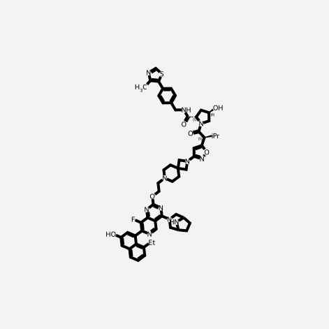 CCc1cccc2cc(O)cc(-c3ncc4c(N5CC6CCC(C5)N6)nc(OCCN5CCC6(CC5)CN(c5cc([C@@H](C(=O)N7C[C@H](O)C[C@H]7C(=O)NCc7ccc(-c8scnc8C)cc7)C(C)C)on5)C6)nc4c3F)c12